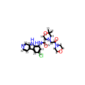 C[C@@H](C(=O)N1CCOCC1)N1CC(C)(C)OC[C@H]1C(=O)Nc1cc(Cl)cc2c1[nH]c1cnccc12